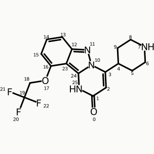 O=c1cc(C2CCNCC2)n2nc3cccc(OCC(F)(F)F)c3c2[nH]1